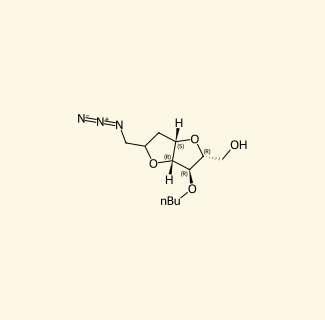 CCCCO[C@H]1[C@@H]2OC(CN=[N+]=[N-])C[C@@H]2O[C@@H]1CO